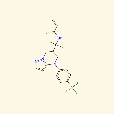 C=CC(=O)NC(C)(C)C1CN(c2ccc(C(F)(F)F)cc2)c2ccnn2C1